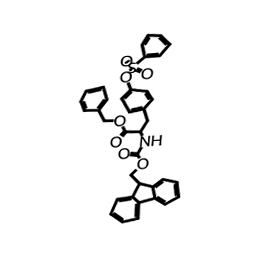 O=C(NC(Cc1ccc(OS(=O)(=O)c2ccccc2)cc1)C(=O)OCc1ccccc1)OCC1c2ccccc2-c2ccccc21